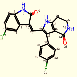 O=C1Nc2ccc(Cl)cc2C1=Cc1[nH]c2c(c1-c1ccc(F)cc1)C(=O)NCC2